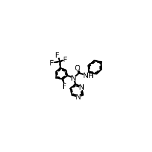 O=C(Nc1ccccc1)N(c1ccncn1)c1cc(C(F)(F)F)ccc1F